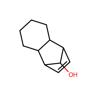 OC1C2C=CC1C1CCCCC21